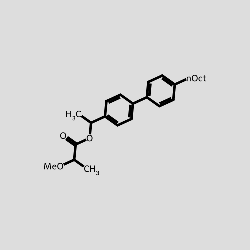 CCCCCCCCc1ccc(-c2ccc(C(C)OC(=O)C(C)OC)cc2)cc1